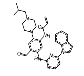 C=CC(=O)Nc1cc(Nc2nccc(-n3ccc4ccccc43)n2)c(C=O)cc1N1CCN(CC(C)C)CC1